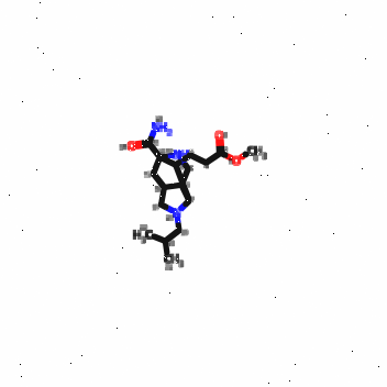 COC(=O)CCC1C2C3CNC1(C(N)=O)CC3CN2CC(C)C